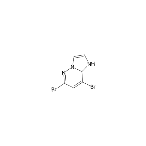 BrC1=CC(Br)=NN2C=CNC12